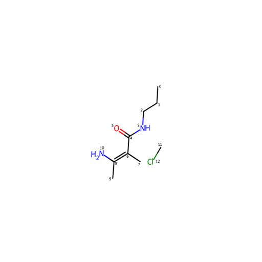 CCCNC(=O)/C(C)=C(/C)N.CCl